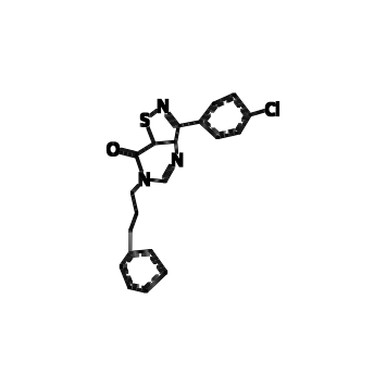 O=C1C2SN=C(c3ccc(Cl)cc3)C2N=CN1CCCc1ccccc1